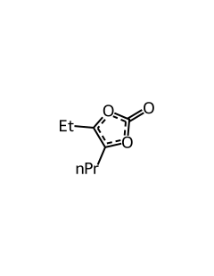 CCCc1oc(=O)oc1CC